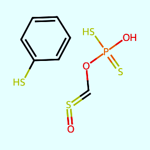 O=S=COP(O)(=S)S.Sc1ccccc1